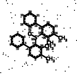 Cc1ccc(-c2ccccc2)c([S+]([O-])c2c(-c3ccccc3)ccc(C)c2C)c1C